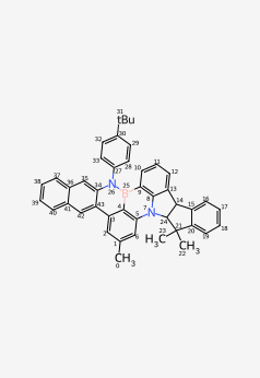 Cc1cc2c3c(c1)N1c4c(cccc4C4c5ccccc5C(C)(C)C41)B3N(c1ccc(C(C)(C)C)cc1)c1cc3ccccc3cc1-2